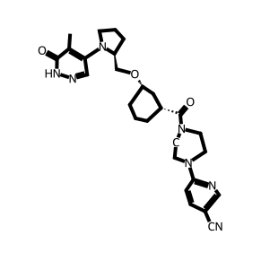 Cc1c(N2CCC[C@H]2CO[C@H]2CCC[C@@H](C(=O)N3CCN(c4ccc(C#N)cn4)CC3)C2)cn[nH]c1=O